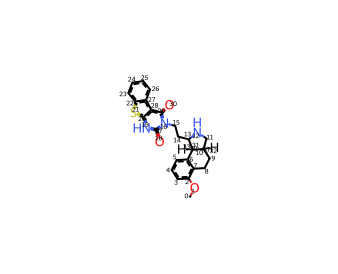 COc1cccc2c1CC[C@H]1CNC(CCn3c(=O)[nH]c4sc5ccccc5c4c3=O)[C@@H]21